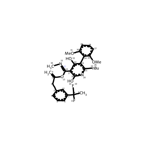 C=C(Cc1cccc(C(C)(F)F)c1)O/C(=N\C)c1c(O)nc(CCCC)c(-c2c(OC)cccc2OC)c1O